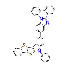 c1ccc(-n2c3ccc(-c4ccc5c(c4)nc4c6ccccc6c6ccccc6n54)cc3c3c4sc5ccccc5c4sc32)cc1